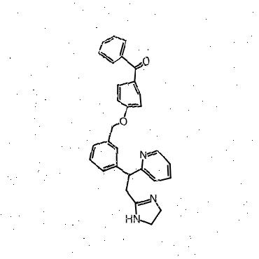 O=C(c1ccccc1)c1ccc(OCc2cccc(C(CC3=NCCN3)c3ccccn3)c2)cc1